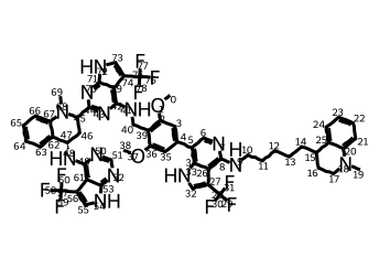 COc1cc(-c2cnc(NCCCCCC3CCN(C)c4ccccc43)c3c(C(F)(F)F)c[nH]c23)cc(OC)c1CNc1nc(C2C[C@H](Nc3ncnc4[nH]cc(C(F)(F)F)c34)c3ccccc3N2C)nc2[nH]cc(C(F)(F)F)c12